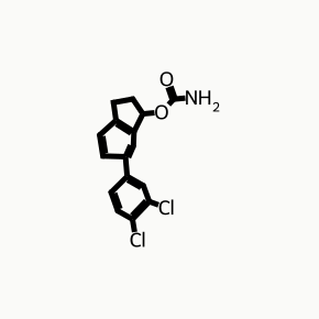 NC(=O)OC1CCc2ccc(-c3ccc(Cl)c(Cl)c3)cc21